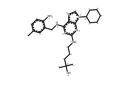 Cc1ccc(N)c(CNc2nc(NCCCC(C)(C)O)nc3c2ncn3C2CCCCC2)c1